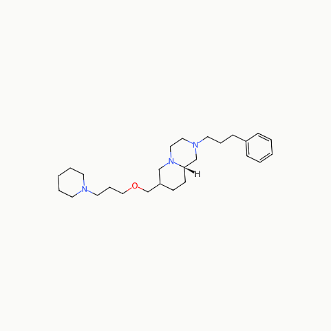 c1ccc(CCCN2CCN3CC(COCCCN4CCCCC4)CC[C@H]3C2)cc1